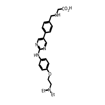 CCN(CC)CCOc1ccc(Nc2ncc(-c3ccc(CNCC(=O)O)cc3)cn2)cc1